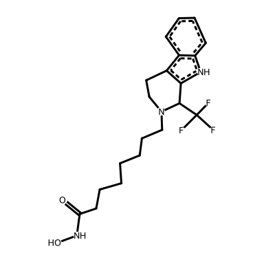 O=C(CCCCCCCN1CCc2c([nH]c3ccccc23)C1C(F)(F)F)NO